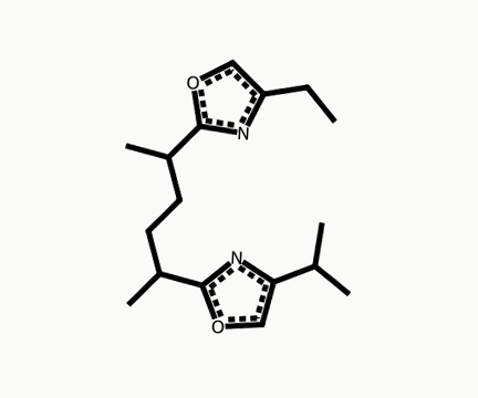 CCc1coc(C(C)CCC(C)c2nc(C(C)C)co2)n1